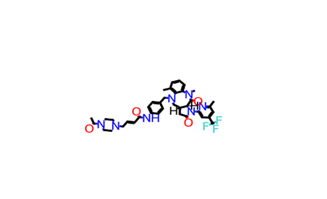 CC(=O)N1CCN(C/C=C/C(=O)Nc2ccc(CN3C[C@H]4CC(=O)N(c5cc(C(F)(F)F)cc(C)n5)[C@@H]4C(=O)N(C)c4cccc(C)c43)cc2)CC1